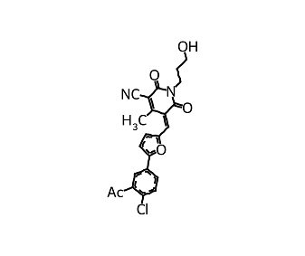 CC(=O)c1cc(-c2ccc(/C=C3/C(=O)N(CCCO)C(=O)C(C#N)=C3C)o2)ccc1Cl